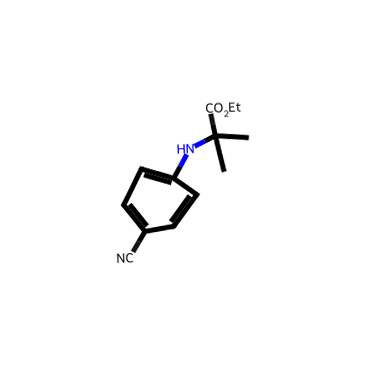 CCOC(=O)C(C)(C)Nc1ccc(C#N)cc1